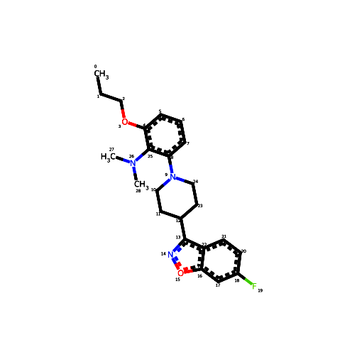 CCCOc1[c]ccc(N2CCC(c3noc4cc(F)ccc34)CC2)c1N(C)C